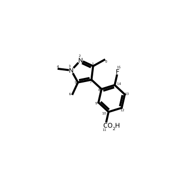 Cc1nn(C)c(C)c1-c1cc(C(=O)O)ccc1F